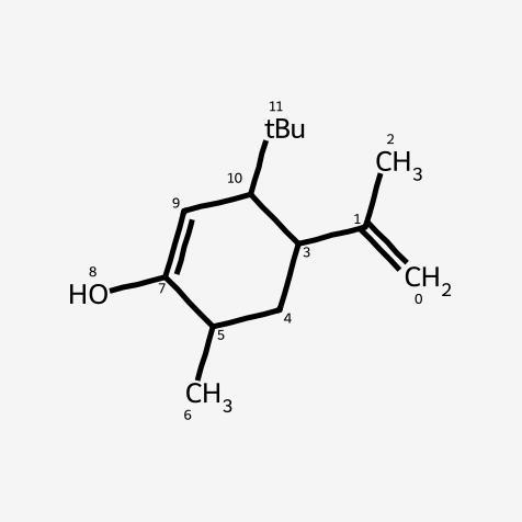 C=C(C)C1CC(C)C(O)=CC1C(C)(C)C